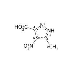 Cc1[nH]nc(C(=O)O)c1[N+](=O)[O-]